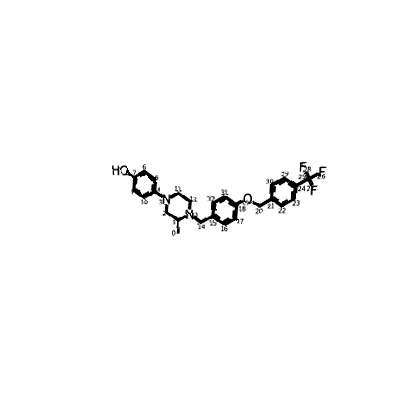 C[C@H]1CN(c2ccc(O)cc2)CCN1Cc1ccc(OCc2ccc(C(F)(F)F)cc2)cc1